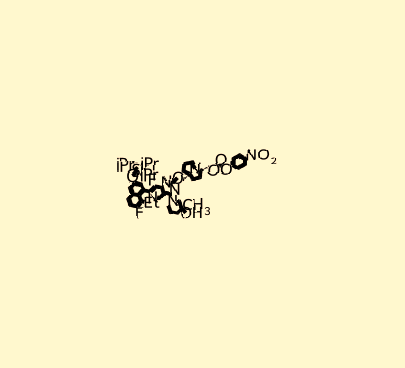 CCc1c(F)ccc2cc(O[Si](C(C)C)(C(C)C)C(C)C)cc(-c3ncc4c(N5CCC[C@@](C)(O)C5)nc(OC[C@]56CCCN5[C@H](COC(=O)Oc5ccc([N+](=O)[O-])cc5)CC6)nc4c3F)c12